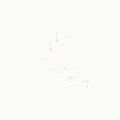 CC/C(=N\C=C/C(C)N1CC[C@@](NC)(C2CC2)C1=O)NC(=O)CC1CC=C(Cl)S1